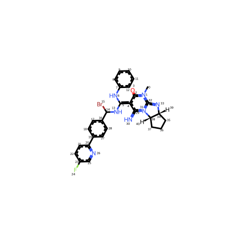 Cn1c(=O)/c(=C(\Nc2ccccc2)NC(Br)c2ccc(-c3ccc(F)cn3)cc2)c(=N)n2c1=N[C@@H]1CCC[C@@H]12